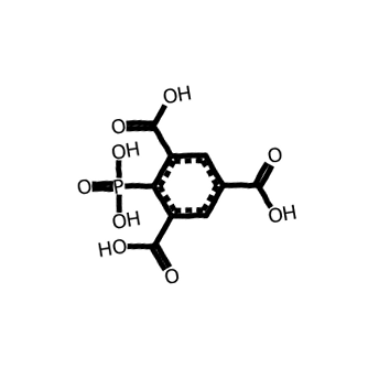 O=C(O)c1cc(C(=O)O)c(P(=O)(O)O)c(C(=O)O)c1